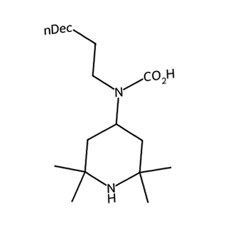 CCCCCCCCCCCCN(C(=O)O)C1CC(C)(C)NC(C)(C)C1